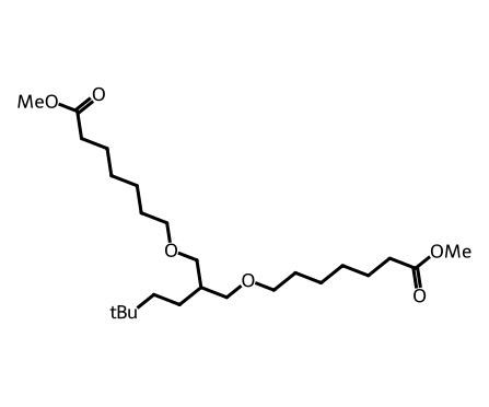 COC(=O)CCCCCCOCC(CCC(C)(C)C)COCCCCCCC(=O)OC